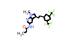 C=CC(=O)Nc1cnc2c(c1)c(C=Cc1cc(C(F)(F)F)cc(C(F)(F)F)c1)cn2C